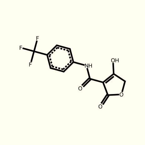 O=C(Nc1ccc(C(F)(F)F)cc1)C1=C(O)COC1=O